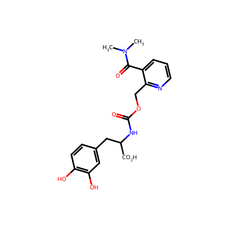 CN(C)C(=O)c1cccnc1COC(=O)NC(Cc1ccc(O)c(O)c1)C(=O)O